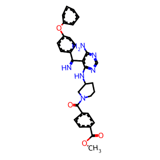 COC(=O)c1ccc(C(=O)N2CCCC(Nc3ncnc(N)c3C(=N)c3ccc(Oc4ccccc4)cc3)C2)cc1